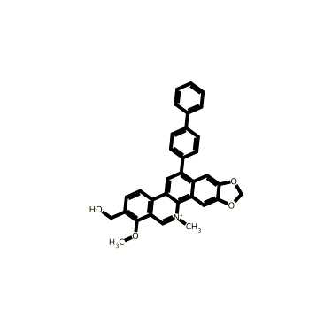 COc1c(CO)ccc2c1c[n+](C)c1c3cc4c(cc3c(-c3ccc(-c5ccccc5)cc3)cc21)OCO4